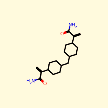 C=C(C(N)=O)C1CCC(CC2CCC(C(=C)C(N)=O)CC2)CC1